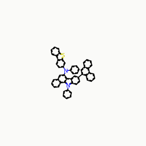 c1ccc(N(c2ccc3c(c2)sc2ccccc23)c2cc3ccccc3c3c2c2cc(-c4cc5ccccc5c5ccccc45)ccc2n3-c2ccccc2)cc1